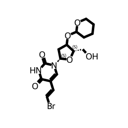 O=c1[nH]c(=O)n([C@@H]2CC(OC3CCCCO3)[C@H](CO)O2)cc1C=CBr